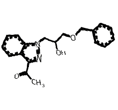 CC(=O)c1nn(CC(O)COCc2ccccc2)c2ccccc12